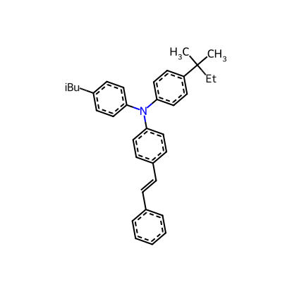 CCC(C)c1ccc(N(c2ccc(C=Cc3ccccc3)cc2)c2ccc(C(C)(C)CC)cc2)cc1